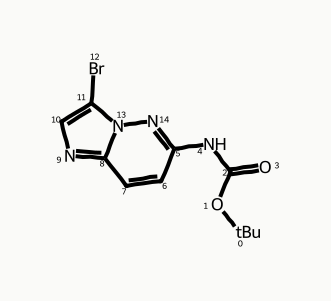 CC(C)(C)OC(=O)Nc1ccc2ncc(Br)n2n1